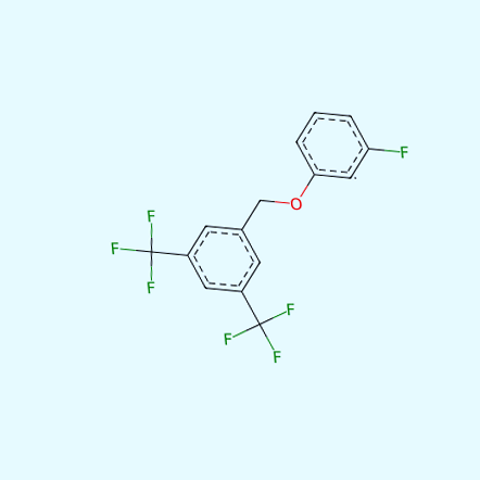 Fc1[c]c(OCc2cc(C(F)(F)F)cc(C(F)(F)F)c2)ccc1